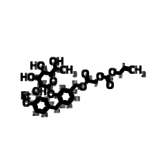 C=CCOC(=O)OCC(=O)OCc1ccc(Cc2ccc(OCC)cc2)c(O[C@@H]2O[C@H]([C@@H](C)O)[C@@H](O)[C@H](O)[C@H]2O)c1